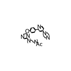 CC(=O)N(C)CCN(C)c1cncc(Oc2ccc(-c3cc(N4CCN(C)CC4)ccn3)cc2)n1